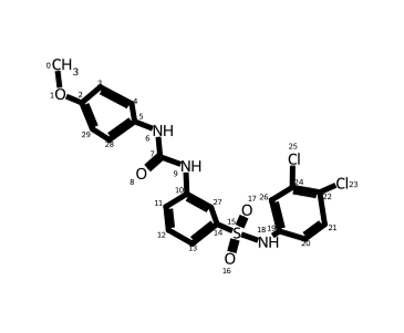 COc1ccc(NC(=O)Nc2cccc(S(=O)(=O)Nc3ccc(Cl)c(Cl)c3)c2)cc1